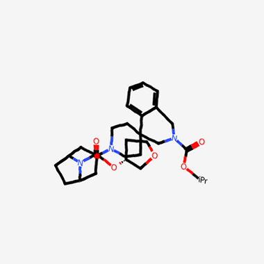 CC(C)OC(=O)N1Cc2ccccc2C2(CCN(C3CC4CCC(C3)N4C(=O)O[C@@H]3CCOC3)CC2)C1